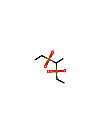 CCS(=O)(=O)C(C)S(=O)(=O)CC